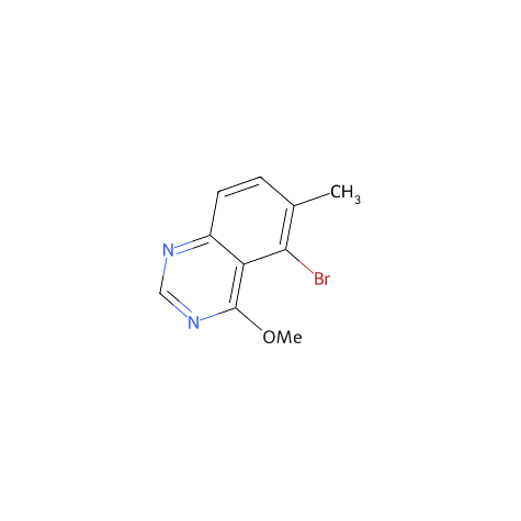 COc1ncnc2ccc(C)c(Br)c12